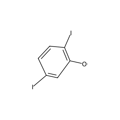 [O]c1cc(I)ccc1I